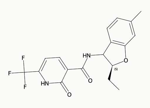 CC[C@@H]1Oc2cc(C)ccc2C1NC(=O)c1ccc(C(F)(F)F)[nH]c1=O